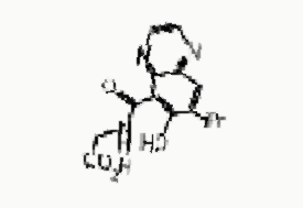 CC(C)c1cc2nccnc2c(C(=O)NCC(=O)O)c1O